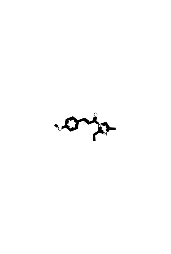 CCc1nc(C)cn1C(=O)/C=C/c1ccc(OC)cc1